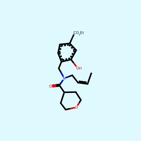 C/C=C\CN(Cc1ccc(C(=O)OCC)cc1O)C(=O)C1CCOCC1